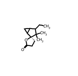 CCC1C2CC2[C@@]2(CCC(=O)O2)C1(C)C